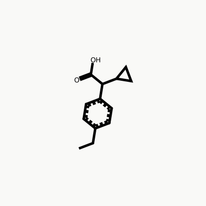 CCc1ccc(C(C(=O)O)C2CC2)cc1